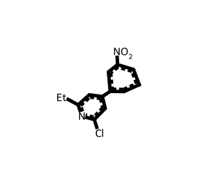 CCc1cc(-c2cccc([N+](=O)[O-])c2)cc(Cl)n1